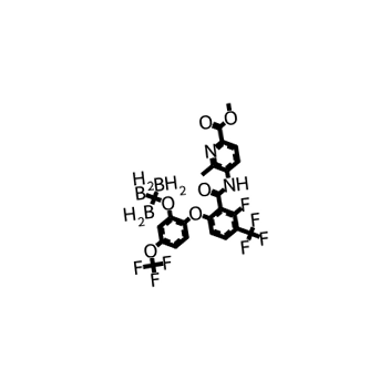 BC(B)(B)Oc1cc(OC(F)(F)F)ccc1Oc1ccc(C(F)(F)F)c(F)c1C(=O)Nc1ccc(C(=O)OC)nc1C